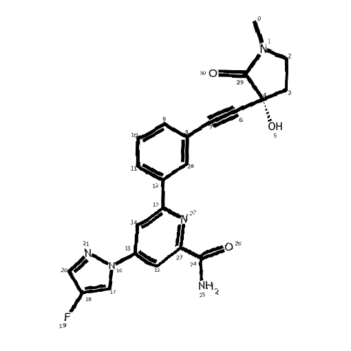 CN1CC[C@@](O)(C#Cc2cccc(-c3cc(-n4cc(F)cn4)cc(C(N)=O)n3)c2)C1=O